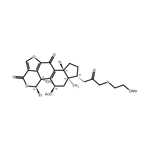 CC[C@H]1OC(=O)c2coc3c2[C@@]1(C)C1=C(C3=O)[C@@H]2CC[C@H](CC(=O)CSCCOC)[C@@]2(C)C[C@H]1OC(C)=O